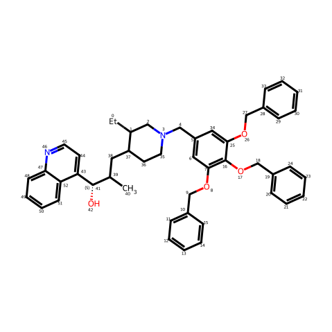 CCC1CN(Cc2cc(OCc3ccccc3)c(OCc3ccccc3)c(OCc3ccccc3)c2)CCC1CC(C)[C@H](O)c1ccnc2ccccc12